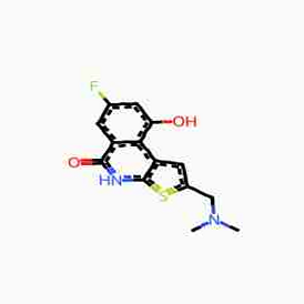 CN(C)Cc1cc2c([nH]c(=O)c3cc(F)cc(O)c32)s1